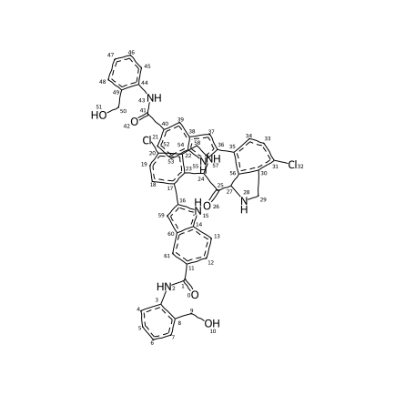 O=C(Nc1ccccc1CO)c1ccc2[nH]c(-c3ccc(Cl)c4c3C(C(=O)C3NCc5c(Cl)ccc(-c6cc7cc(C(=O)Nc8ccccc8CO)ccc7[nH]6)c53)NC4)cc2c1